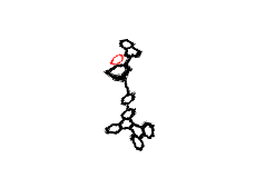 c1ccc2c(c1)ccc1c3cc(-c4ccc(-c5ccc6c(c5)c5ccccc5c5c7ccccc7c7ccccc7c65)cc4)ccc3oc21